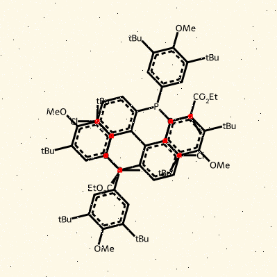 CCOC(=O)C(C)Oc1c(Cl)ccc(P(c2cc(C(C)(C)C)c(OC)c(C(C)(C)C)c2)c2cc(C(C)(C)C)c(OC)c(C(C)(C)C)c2)c1-c1c(P(c2cc(C(C)(C)C)c(OC)c(C(C)(C)C)c2)c2cc(C(C)(C)C)c(OC)c(C(C)(C)C)c2)ccc(Cl)c1O[C@@H](C)C(=O)OCC